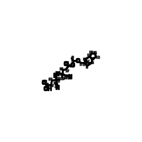 CC(OCC1CC2CC1C1CCCC21)OC(=O)CCC(C)(C#N)/N=N\C(C)(C#N)CCC(=O)O